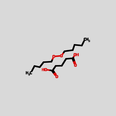 CCCCCOOCCCCC.O=C(O)CCCC(=O)O